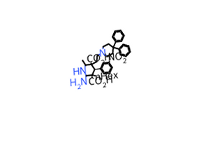 CCCCCCC1(C(=O)O)C(N)NC(C)C(CCN2CCC(c3ccccc3)(c3ccccc3)CC2)(C(=O)O)[C@H]1c1cccc([N+](=O)[O-])c1